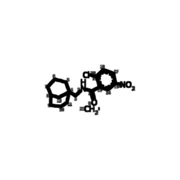 O=C(NCC12CCCC(CCC1)C2)c1cc([N+](=O)[O-])ccc1Cl.[CH2]